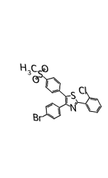 CS(=O)(=O)c1ccc(-c2sc(-c3ccccc3Cl)nc2-c2ccc(Br)cc2)cc1